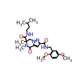 COc1ccc(OC)c(CNC(=O)c2cc3n(n2)CC(C)(C(=O)NCCC(C)C)N(C)C3=O)c1